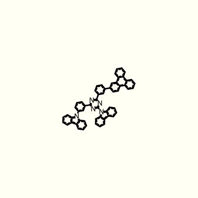 c1cc(-c2ccc3c4ccccc4c4ccccc4c3c2)cc(-c2nc(-c3cccc(-n4c5ccccc5c5ccccc54)c3)nc(-n3c4ccccc4c4ccccc43)n2)c1